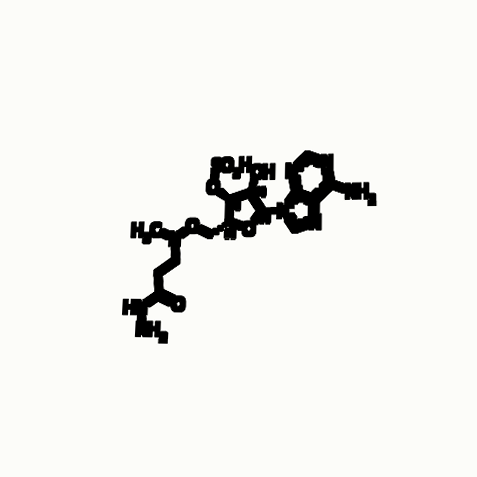 CN(CCC(=O)NN)OC[C@H]1O[C@@H](n2cnc3c(N)ncnc32)[C@H](O)[C@@H]1OS(=O)(=O)O